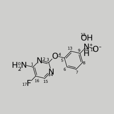 Nc1nc(Oc2cccc([NH+]([O-])O)c2)ncc1F